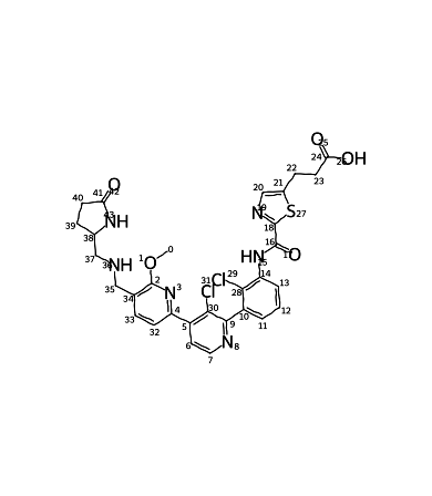 COc1nc(-c2ccnc(-c3cccc(NC(=O)c4ncc(CCC(=O)O)s4)c3Cl)c2Cl)ccc1CNCC1CCC(=O)N1